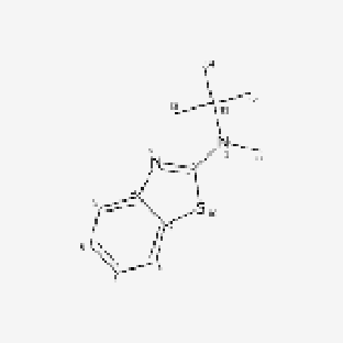 CN(c1nc2ccccc2s1)C(C)(C)C